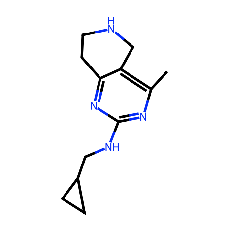 Cc1nc(NCC2CC2)nc2c1CNCC2